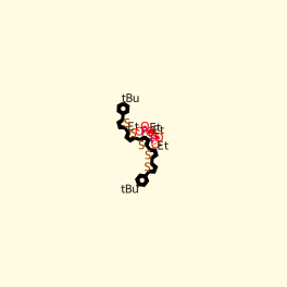 CCOP(=O)(OCC)c1c(-c2ccc(-c3ccc(-c4ccc(C(C)(C)C)cc4)s3)s2)sc(-c2ccc(-c3ccc(-c4ccc(C(C)(C)C)cc4)s3)s2)c1P(=O)(OCC)OCC